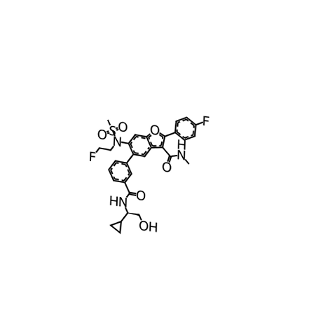 CNC(=O)c1c(-c2ccc(F)cc2)oc2cc(N(CCF)S(C)(=O)=O)c(-c3cccc(C(=O)N[C@@H](CO)C4CC4)c3)cc12